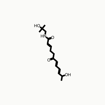 CC(O)/C=C/C=C/C(=O)CC/C=C/C(=O)NCC(C)(C)O